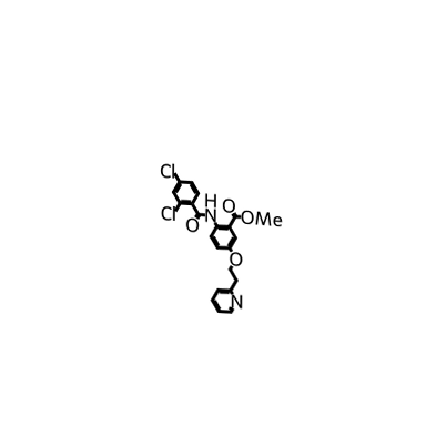 COC(=O)c1cc(OCCc2ccccn2)ccc1NC(=O)c1ccc(Cl)cc1Cl